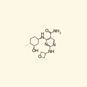 C[C@@H]1CC[C@@H](Nc2nc(NC3COC3)ncc2C(N)=O)C[C@H]1O